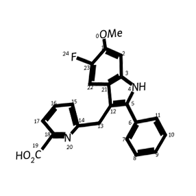 COc1cc2[nH]c(-c3ccccc3)c(Cc3cccc(C(=O)O)n3)c2cc1F